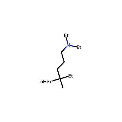 CCCCCCC(C)(CC)CCCN(CC)CC